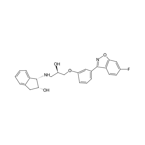 O[C@H](CN[C@H]1c2ccccc2C[C@H]1O)COc1cccc(-c2noc3cc(F)ccc23)c1